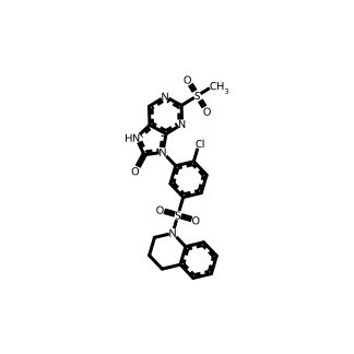 CS(=O)(=O)c1ncc2[nH]c(=O)n(-c3cc(S(=O)(=O)N4CCCc5ccccc54)ccc3Cl)c2n1